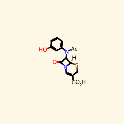 CC(=O)N(c1cccc(O)c1)C1C(=O)N2C=C(C(=O)O)CS[C@H]12